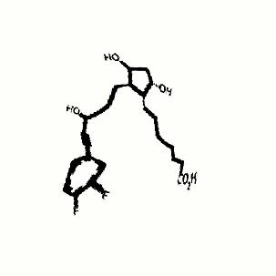 O=C(O)CCCCCC[C@H]1[C@@H](O)CC(O)[C@@H]1CCC(O)C#Cc1ccc(F)c(F)c1